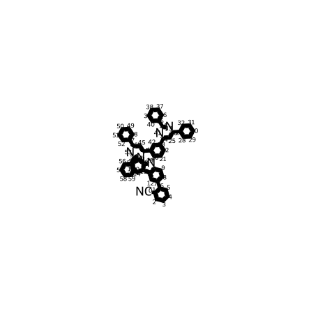 N#Cc1ccccc1-c1ccc2c(c1)c1ccccc1n2-c1ccc(-c2cc(-c3ccccc3)nc(-c3ccccc3)n2)cc1-c1cc(-c2ccccc2)nc(-c2ccccc2)n1